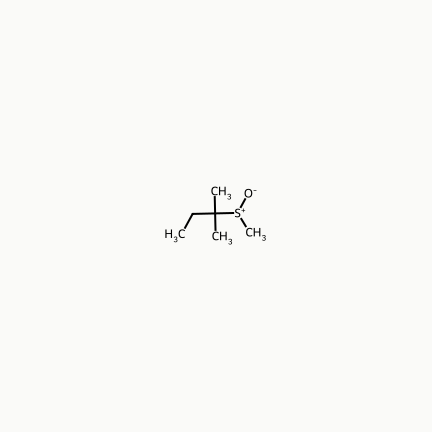 CCC(C)(C)[S+](C)[O-]